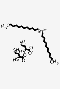 CCCCCCCCCCC[CH2][Sn+2][CH2]CCCCCCCCCCC.O=C([O-])C(S)CCS.O=C([O-])C(S)CCS